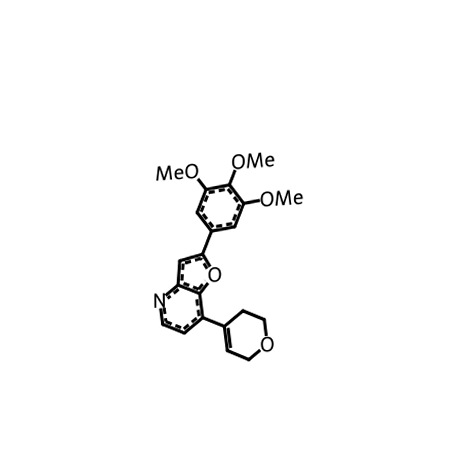 COc1cc(-c2cc3nccc(C4=CCOCC4)c3o2)cc(OC)c1OC